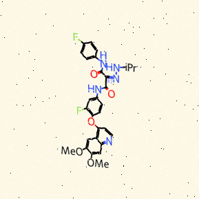 COc1cc2nccc(Oc3ccc(NC(=O)/C(=N/NC(C)C)C(=O)Nc4ccc(F)cc4)cc3F)c2cc1OC